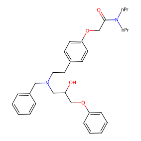 CCCN(CCC)C(=O)COc1ccc(CCN(Cc2ccccc2)CC(O)COc2ccccc2)cc1